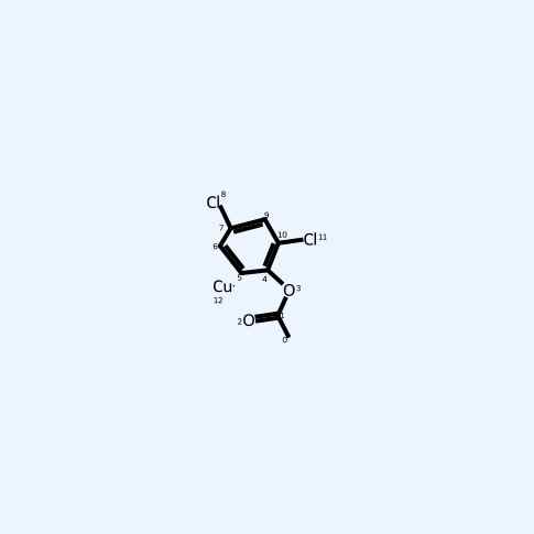 CC(=O)Oc1ccc(Cl)cc1Cl.[Cu]